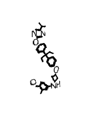 CCC(CC)(c1ccc(Oc2cnc(C(C)C)cn2)cc1)c1ccc(O[C@H]2C[C@@H](Nc3ccc(C=O)c(C)c3)C2)cc1